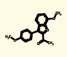 COc1ccc(-c2c(C(C)=O)oc3c(OC)cccc23)cc1